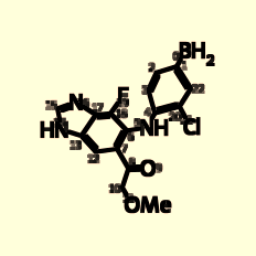 Bc1ccc(Nc2c(C(=O)COC)cc3[nH]cnc3c2F)c(Cl)c1